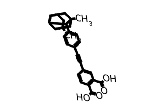 CC12CC3CC(C1)C(c1ccc(C#Cc4ccc(C(=O)O)c(C(=O)O)c4)cc1)C(C)(C3)C2